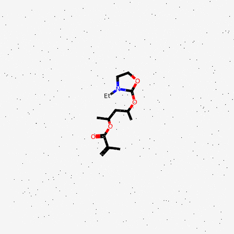 C=C(C)C(=O)OC(C)CC(C)OC1OCCN1CC